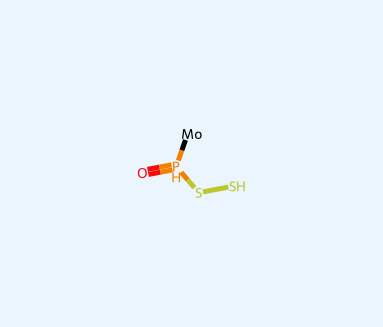 O=[PH]([Mo])SS